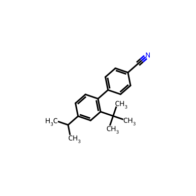 CC(C)c1ccc(-c2ccc(C#N)cc2)c(C(C)(C)C)c1